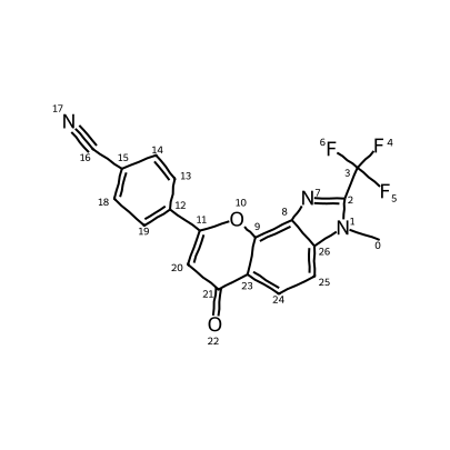 Cn1c(C(F)(F)F)nc2c3oc(-c4ccc(C#N)cc4)cc(=O)c3ccc21